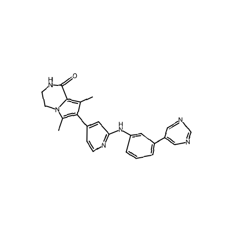 Cc1c(-c2ccnc(Nc3cccc(-c4cncnc4)c3)c2)c(C)n2c1C(=O)NCC2